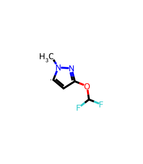 Cn1[c]cc(OC(F)F)n1